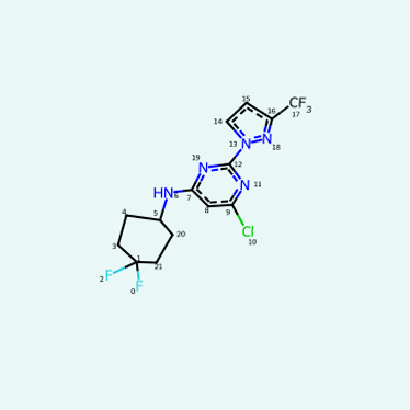 FC1(F)CCC(Nc2cc(Cl)nc(-n3ccc(C(F)(F)F)n3)n2)CC1